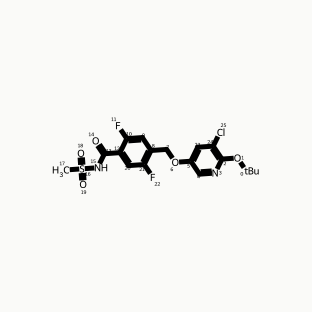 CC(C)(C)Oc1ncc(OCc2cc(F)c(C(=O)NS(C)(=O)=O)cc2F)cc1Cl